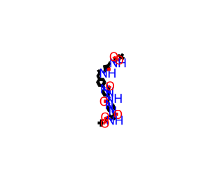 CC(Cc1ccc(-n2ccc(NC(=O)N3CCN(C(=O)C(C)(C)NC(=O)OC(C)(C)C)CC3)nc2=O)cc1)NC12CC(CNC(=O)OC(C)(C)C)(C1)C2